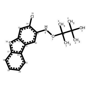 CC(C)(O)C(C)(C)OBc1cc2c(cc1Cl)sc1ccccc12